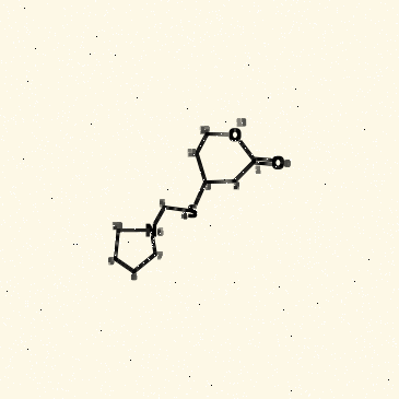 O=C1CC(SCN2CCCC2)CCO1